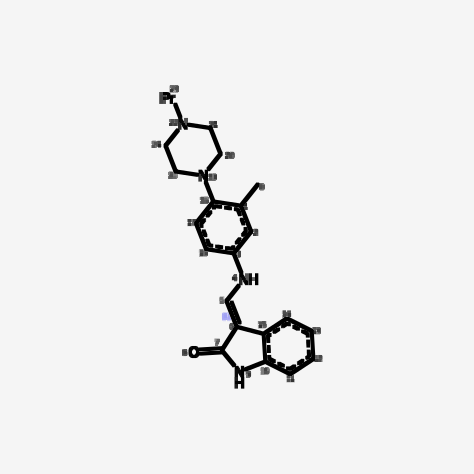 Cc1cc(N/C=C2/C(=O)Nc3ccccc32)ccc1N1CCN(C(C)C)CC1